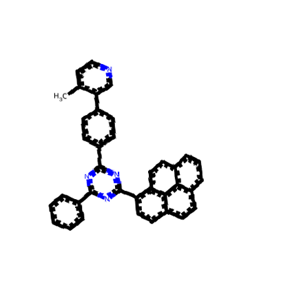 Cc1ccncc1-c1ccc(-c2nc(-c3ccccc3)nc(-c3ccc4ccc5cccc6ccc3c4c56)n2)cc1